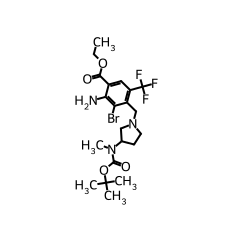 CCOC(=O)c1cc(C(F)(F)F)c(CN2CCC(N(C)C(=O)OC(C)(C)C)C2)c(Br)c1N